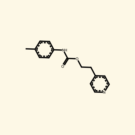 Cc1ccc(NC(=O)OCCc2ccncc2)cc1